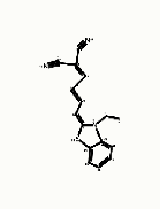 CCN1C(=CC=CC=C(C#N)C#N)Sc2ccccc21